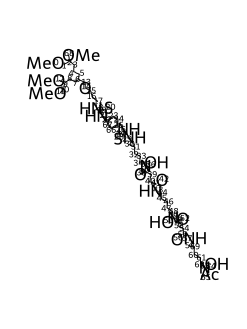 COCC(CCCC(CCC(COC)OC)COCCCNC(=S)Nc1ccc(NC(=S)NCCCCCN(O)C(=O)CCC(=O)NCCCCCN(O)C(=O)CCC(=O)NCCCCCN(O)C(C)=O)cc1)OC